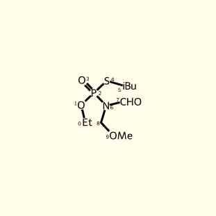 CCOP(=O)(SC(C)CC)N(C=O)COC